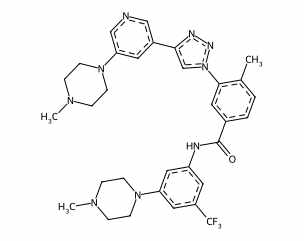 Cc1ccc(C(=O)Nc2cc(N3CCN(C)CC3)cc(C(F)(F)F)c2)cc1-n1cc(-c2cncc(N3CCN(C)CC3)c2)nn1